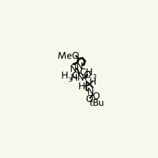 COc1cccn2c(C(C)(C)NC(=O)[C@H]3[C@@H]4CN(C(=O)OC(C)(C)C)C[C@@H]43)ncc12